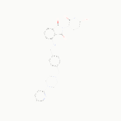 O=C1NC(O)CCC1N1C(=O)c2cccc(NCc3ccc(CN4CCN(c5ccc(F)cn5)CC4)cc3)c2C1=O